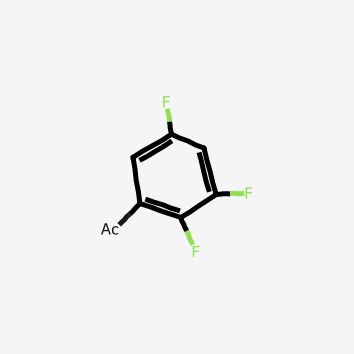 CC(=O)c1cc(F)cc(F)c1F